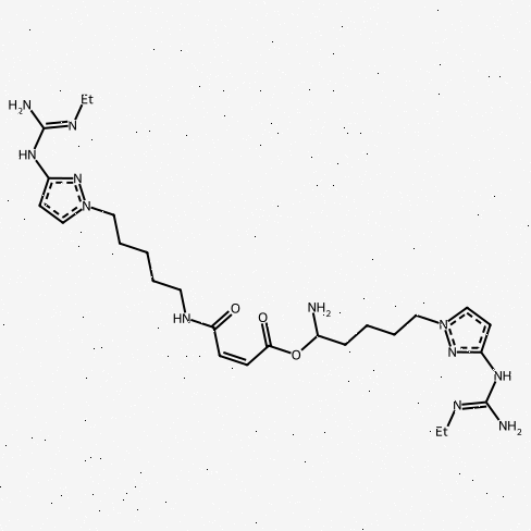 CCN=C(N)Nc1ccn(CCCCCNC(=O)/C=C\C(=O)OC(N)CCCCn2ccc(NC(N)=NCC)n2)n1